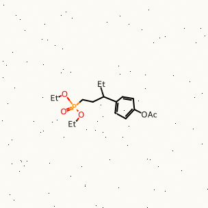 CCOP(=O)(CCC(CC)c1ccc(OC(C)=O)cc1)OCC